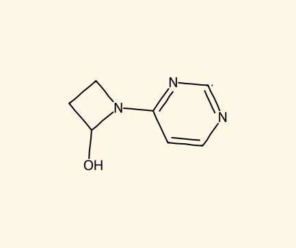 OC1CCN1c1ccn[c]n1